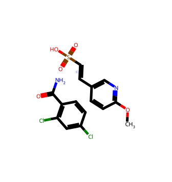 COc1ccc(/C=C/S(=O)(=O)O)cn1.NC(=O)c1ccc(Cl)cc1Cl